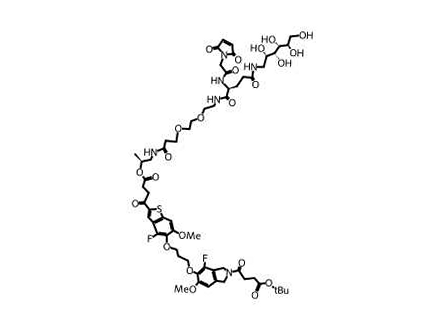 COc1cc2c(c(F)c1OCCCOc1c(OC)cc3sc(C(=O)CCC(=O)O[C@@H](C)CNC(=O)CCOCCOCCNC(=O)[C@H](CCC(=O)NC[C@H](O)[C@@H](O)[C@H](O)[C@H](O)CO)NC(=O)CN4C(=O)C=CC4=O)cc3c1F)CN(C(=O)CCC(=O)OC(C)(C)C)C2